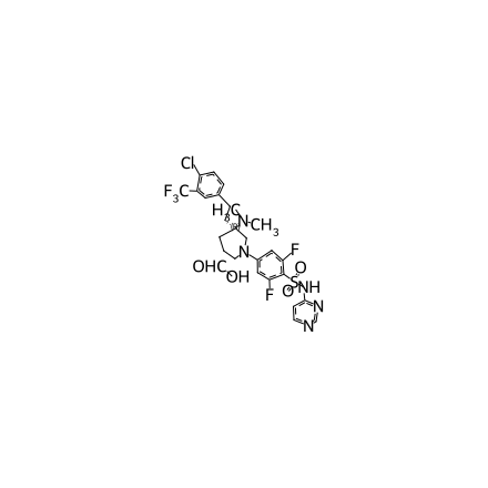 CN(C)[C@]1(CCc2ccc(Cl)c(C(F)(F)F)c2)CCCN(c2cc(F)c(S(=O)(=O)Nc3ccncn3)c(F)c2)C1.O=CO